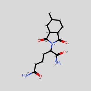 CC1CCC2C(=O)N(C(CCCC(N)=O)C(N)=O)C(=O)C2C1